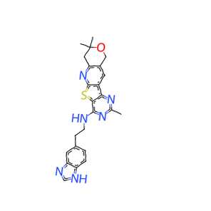 Cc1nc(NCCc2ccc3[nH]cnc3c2)c2sc3nc4c(cc3c2n1)COC(C)(C)C4